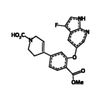 COC(=O)c1ccc(C2=CCN(C(=O)O)CC2)cc1Oc1cnc2[nH]cc(F)c2c1